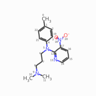 Cc1ccc(N(CCCN(C)C)c2ncccc2[N+](=O)[O-])cc1